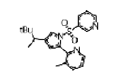 C[C](c1cc(-c2ncccc2C)n(S(=O)(=O)c2cccnc2)c1)C(C)(C)C